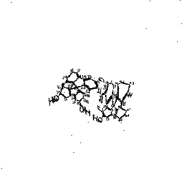 Cc1cc(C2(c3ccc(Oc4ccc5c(c4)-c4ccccc4C5(c4ccc(O)cc4)c4ccc(O)cc4)c(C)c3)c3ccccc3-c3ccccc32)ccc1O